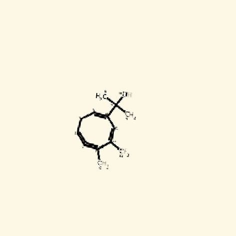 CC1=C=CC/C=C(C(C)(C)O)\C=C/1C(F)(F)F